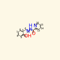 O=C(NN=Cc1ccccc1O)c1ccccn1